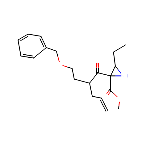 C=CCC(CCOCc1ccccc1)C(=O)C1(C(=O)OC)NC1CC